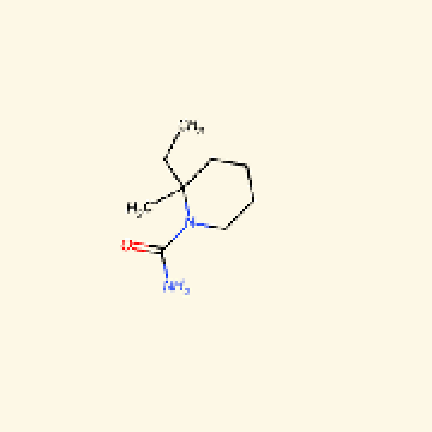 CCC1(C)CCCCN1C(N)=O